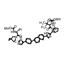 COC(=O)NC(C(=O)N1C(c2ncc(-c3ccc4cc(-c5ccc(-c6cnc([C@@H]7CC8(CC8)CN7C(=O)[C@@H](NC(=O)OC)C(C)C)[nH]6)cc5)ccc4c3)[nH]2)C2CC[C@@H]1C2)C(C)(C)OC